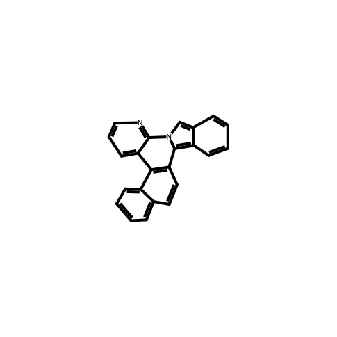 c1ccc2c(c1)ccc1c2c2cccnc2n2cc3ccccc3c12